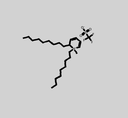 CCCCCCCCCC1C=CC=C[N+]1(C)CCCCCCCCC.O=S(=O)([O-])C(F)(F)F